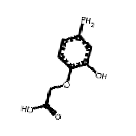 O=C(O)COc1ccc(P)cc1O